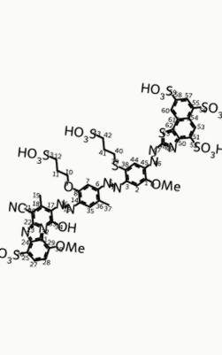 COc1cc(N=Nc2cc(OCCCS(=O)(=O)O)c(N=Nc3c(C)c(C#N)c4nc5c(S(=O)(=O)O)ccc(OC)c5n4c3O)cc2C)c(SCCCS(=O)(=O)O)cc1N=Nc1nc2c(S(=O)(=O)O)cc3c(S(=O)(=O)O)cc(S(=O)(=O)O)cc3c2s1